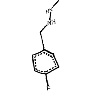 CNNCc1ccc(F)cc1